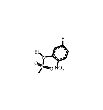 CCN(c1cc(F)ccc1[N+](=O)[O-])S(C)(=O)=O